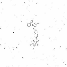 CC(C)c1cc(CN2CCC3(CCN(C(=O)OC(C(F)(F)F)C(F)(F)F)CC3)C2)n(-c2ccccc2Cl)n1